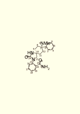 CN[C@]1(c2ccccc2)CC[C@]2(CC1)CN(c1ccccc1C(N)=O)C(=O)N2